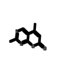 Cc1ncc2c(C)cc(=O)oc2n1